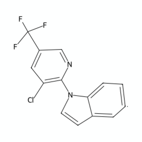 FC(F)(F)c1cnc(-n2ccc3c[c]ccc32)c(Cl)c1